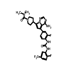 CN(C)C(=O)N1CCC(c2cc(-c3ccc(NC(=O)Nc4cc(C(F)(F)F)ccc4F)c(F)c3)c3c(N)ncnn23)CC1